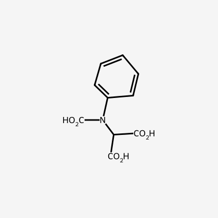 O=C(O)C(C(=O)O)N(C(=O)O)c1ccccc1